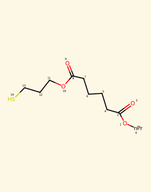 CCCOC(=O)CCCCC(=O)OCCCS